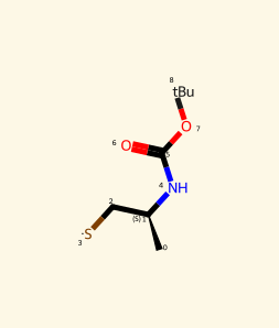 C[C@@H](C[S])NC(=O)OC(C)(C)C